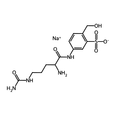 NC(=O)NCCCC(N)C(=O)Nc1ccc(CO)c(S(=O)(=O)[O-])c1.[Na+]